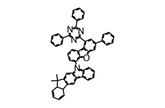 CC1(C)c2cc3c(cc2C2C=CC=CC21)c1ccccc1n3-c1cccc2c1oc1cc(-c3ccccc3)cc(-c3nc(-c4ccccc4)nc(-c4ccccc4)n3)c12